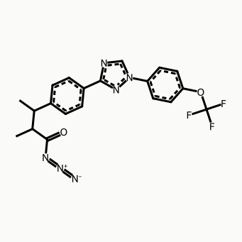 CC(C(=O)N=[N+]=[N-])C(C)c1ccc(-c2ncn(-c3ccc(OC(F)(F)F)cc3)n2)cc1